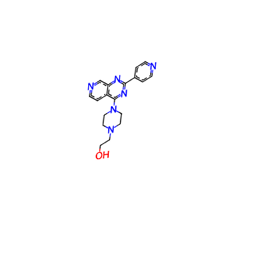 OCCN1CCN(c2nc(-c3ccncc3)nc3cnccc23)CC1